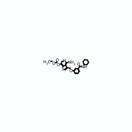 CCOC(=O)Oc1cnc(N)c2c(COc3cccc(C(=O)NC4CCCCC4)c3)csc12